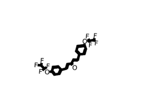 O=C(C=Cc1ccc(OC(F)(F)C(F)F)cc1)C=Cc1ccc(OC(F)(F)C(F)F)cc1